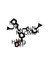 COc1cc(C(=O)N2C[C@H]3CC[C@@H]2[C@@H]3N)cc2nc(-c3cc4cccnc4n3CC3CC3)n(CC3CN(c4ccnc(C5CC5)n4)C3)c12